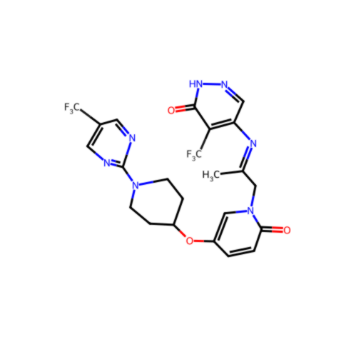 C/C(Cn1cc(OC2CCN(c3ncc(C(F)(F)F)cn3)CC2)ccc1=O)=N\c1cn[nH]c(=O)c1C(F)(F)F